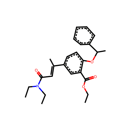 CCOC(=O)c1cc(C(C)=CC(=O)N(CC)CC)ccc1OC(C)c1ccccc1